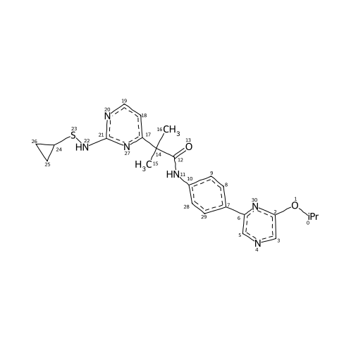 CC(C)Oc1cncc(-c2ccc(NC(=O)C(C)(C)c3ccnc(NSC4CC4)n3)cc2)n1